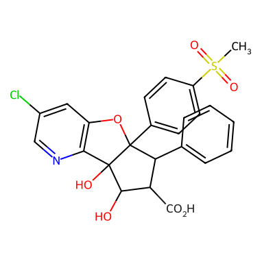 CS(=O)(=O)c1ccc(C23Oc4cc(Cl)cnc4C2(O)C(O)C(C(=O)O)C3c2ccccc2)cc1